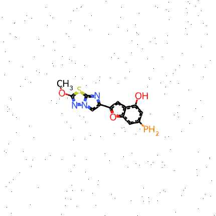 COc1nn2cc(-c3cc4c(O)cc(P)cc4o3)nc2s1